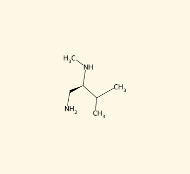 CN[C@H](CN)C(C)C